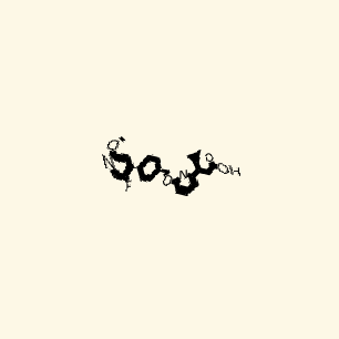 COc1cc([C@H]2CC[C@H](COc3cccc(C(CC(=O)O)C4CC4)n3)CC2)c(F)cn1